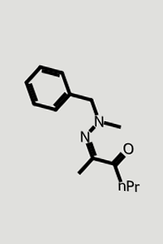 CCCC(=O)C(C)=NN(C)Cc1ccccc1